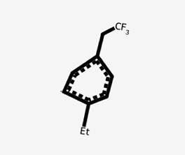 CCc1[c]cc(CC(F)(F)F)cc1